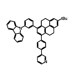 CC(C)(C)c1cc2c3c(c1)CCc1c(-c4cccc(-n5c6ccccc6c6ccccc65)c4)cc(-c4ccc(-c5cccnc5)cc4)c(c1-3)CC2